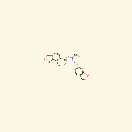 CN(CCc1ccc2c(c1)OCC2)C[C@@H]1CCCc2c1ccc1c2OOC1